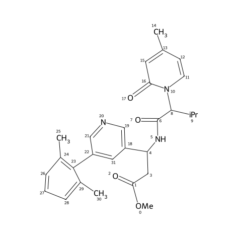 COC(=O)CC(NC(=O)C(C(C)C)n1ccc(C)cc1=O)c1cncc(-c2c(C)cccc2C)c1